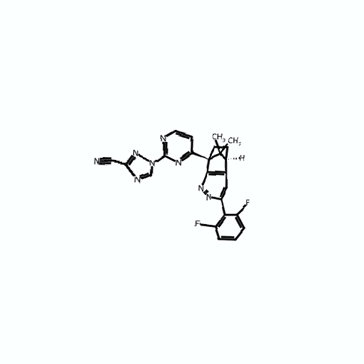 CC1(C)[C@H]2CC[C@@]1(c1ccnc(-n3cnc(C#N)n3)n1)c1nnc(-c3c(F)cccc3F)cc12